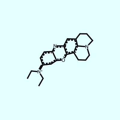 CC[N+](CC)=c1ccc2nc3cc4c5c(c3oc-2c1)CCCN5CCC4